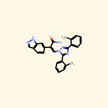 NC(=O)C(=Cn1nc(-c2ccccc2C(F)(F)F)nc1-c1ccccc1C(F)(F)F)c1ccc2cn[nH]c2c1